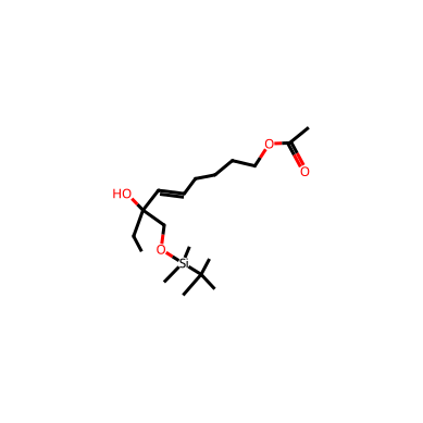 CCC(O)(/C=C/CCCCOC(C)=O)CO[Si](C)(C)C(C)(C)C